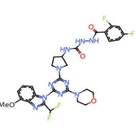 COc1cccc2c1nc(C(F)F)n2-c1nc(N2CCOCC2)nc(N2CCC(NC(=O)NNC(=O)c3ccc(F)cc3F)C2)n1